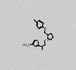 Cc1ccc(OCC2CCC[C@@H]2CCC(C)c2nc(C(=O)O)cs2)cc1